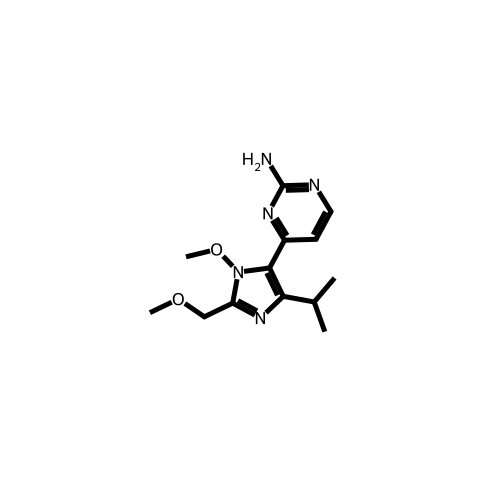 COCc1nc(C(C)C)c(-c2ccnc(N)n2)n1OC